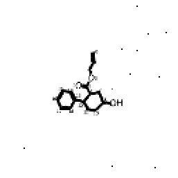 C=CCOC(=O)C1CC(O)CCC1c1ccccc1